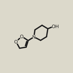 OC1CCN(C2=CCOO2)CC1